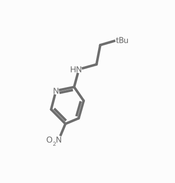 CC(C)(C)CCNc1ccc([N+](=O)[O-])cn1